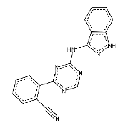 N#Cc1ccccc1-c1ncnc(Nc2n[nH]c3ccccc23)n1